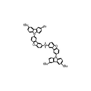 CC(C)c1ccc2c(c1)c1cc(C(C)(C)C)ccc1n2-c1ccc2oc3ccc([Si](C)(C)c4ccc5oc6ccc(-n7c8ccc(C(C)(C)C)cc8c8cc(C(C)(C)C)ccc87)cc6c5c4)cc3c2c1